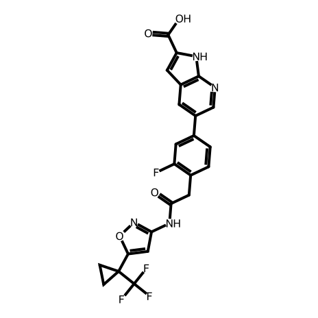 O=C(Cc1ccc(-c2cnc3[nH]c(C(=O)O)cc3c2)cc1F)Nc1cc(C2(C(F)(F)F)CC2)on1